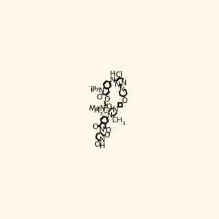 CNC(=O)COc1cc2cc(Nc3nc(N4CCC(OC5CC(N6C[C@H](C)N(c7ccc8c(c7)C(=O)N([C@@H]7CCC(=O)NC7=O)C8=O)[C@@H](C)C6)C5)CC4)ncc3Cl)ccc2n(C(C)C)c1=O